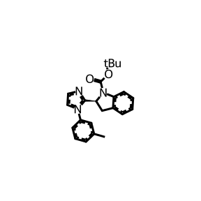 Cc1cccc(-n2ccnc2[C@@H]2Cc3ccccc3N2C(=O)OC(C)(C)C)c1